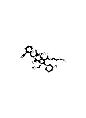 CCn1c(N2CCC[C@@H](N)C2)c(C(=O)NCCOC)c2c1c(=O)n(Cc1ncccc1C#N)c(=O)n2C